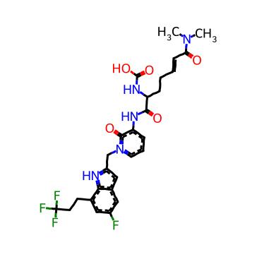 CN(C)C(=O)C=CCCC(NC(=O)O)C(=O)Nc1cccn(Cc2cc3cc(F)cc(CCC(F)(F)F)c3[nH]2)c1=O